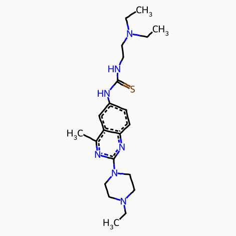 CCN(CC)CCNC(=S)Nc1ccc2nc(N3CCN(CC)CC3)nc(C)c2c1